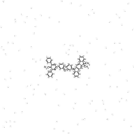 C=C1C(c2ccccc2)=NC(c2ccc3c(c2)oc2cc(-n4c5ccccc5c5cc6c(cc54)-c4ccccc4C6(C)C)ccc23)=NC1c1ccccc1